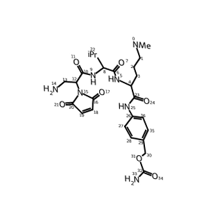 CNCCCC(NC(=O)C(NC(=O)C(CN)N1C(=O)C=CC1=O)C(C)C)C(=O)Nc1ccc(COC(N)=O)cc1